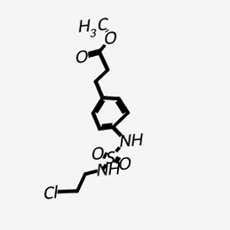 COC(=O)CCc1ccc(NS(=O)(=O)NCCCl)cc1